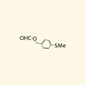 CSc1ccc(CO[C]=O)cc1